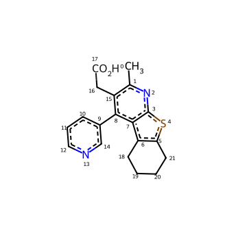 Cc1nc2sc3c(c2c(-c2cccnc2)c1CC(=O)O)CCCC3